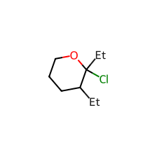 CCC1CCCOC1(Cl)CC